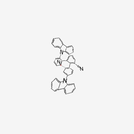 N#Cc1cc(-n2c3ccccc3c3ccccc32)ccc1-c1c(C#N)cccc1-c1ccccc1-n1c2ccccc2c2ccccc21